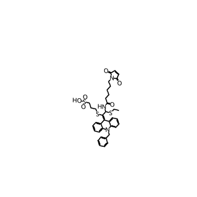 CCSC(NC(=O)CCCCCN1C(=O)C=CC1=O)C(SCCCS(=O)(=O)O)=C1c2ccccc2N(Cc2ccccc2)c2ccccc21